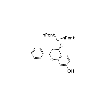 CCCCCOCCCCC.O=C1CC(c2ccccc2)Oc2cc(O)ccc21